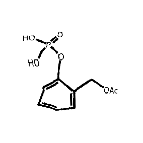 CC(=O)OCc1ccccc1OP(=O)(O)O